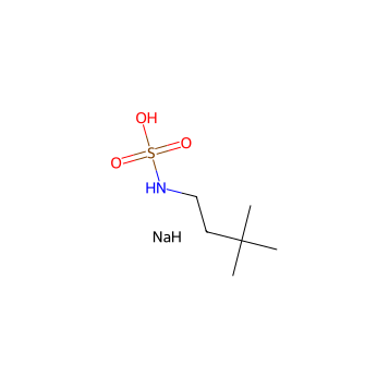 CC(C)(C)CCNS(=O)(=O)O.[NaH]